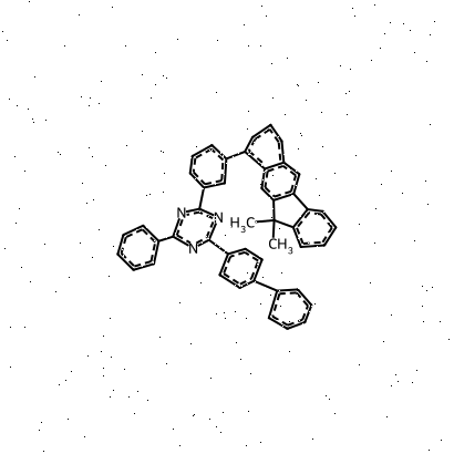 CC1(C)c2ccccc2-c2cc3cccc(-c4cccc(-c5nc(-c6ccccc6)nc(-c6ccc(-c7ccccc7)cc6)n5)c4)c3cc21